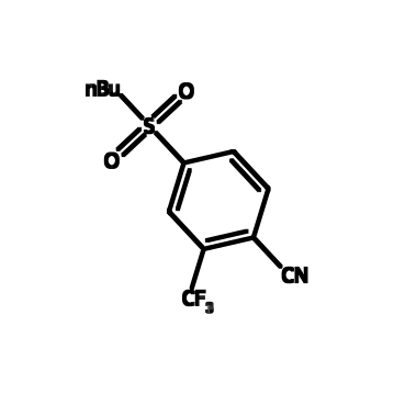 CCCCS(=O)(=O)c1ccc(C#N)c(C(F)(F)F)c1